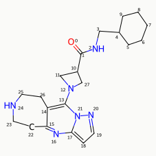 O=C(NCC1CCCCC1)C1CN(c2c3c(nc4ccnn24)CCNCC3)C1